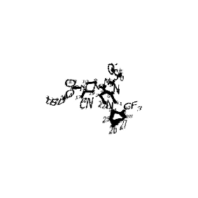 C[S+]([O-])c1nc2c(c(N3CCN(C(=O)OC(C)(C)C)C(CC#N)C3)n1)CCN(c1ccccc1C(F)(F)F)C2